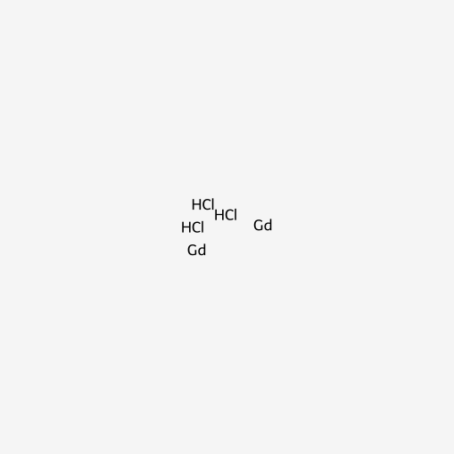 Cl.Cl.Cl.[Gd].[Gd]